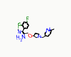 C=N/C(=C(\N)COC1CCN(Cc2ccc(C)nc2)C1)c1ccc(F)cc1F